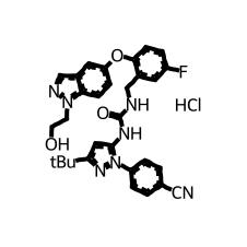 CC(C)(C)c1cc(NC(=O)NCc2cc(F)ccc2Oc2ccc3c(cnn3CCO)c2)n(-c2ccc(C#N)cc2)n1.Cl